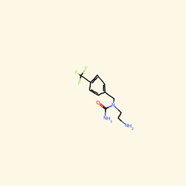 NCCN(Cc1ccc(C(F)(F)F)cc1)C(N)=O